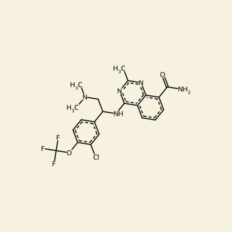 Cc1nc(NC(CN(C)C)c2ccc(OC(F)(F)F)c(Cl)c2)c2cccc(C(N)=O)c2n1